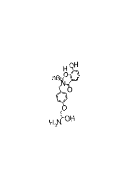 CCCCN(Cc1ccc(OCC(N)O)cc1)C(=O)c1cccc(O)c1O